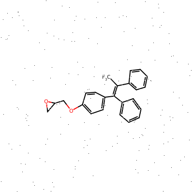 FC(F)(F)C(=C(c1ccccc1)c1ccc(OCC2CO2)cc1)c1ccccc1